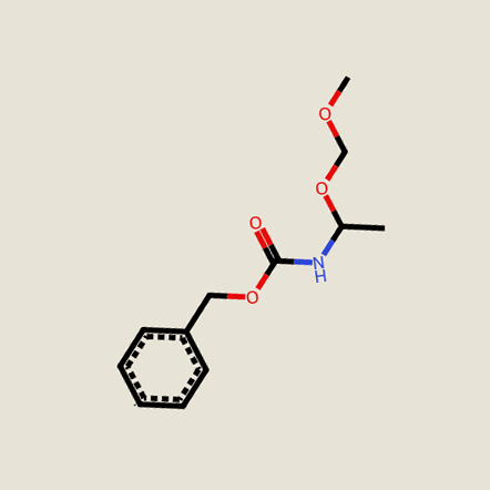 COCOC(C)NC(=O)OCc1cc[c]cc1